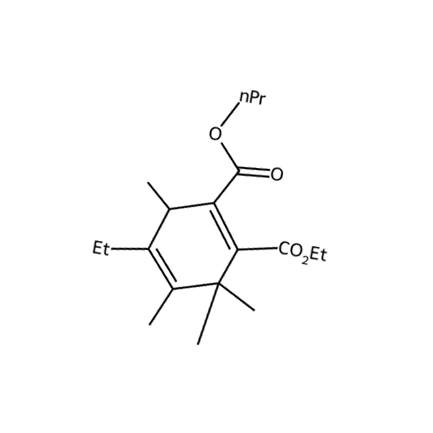 CCCOC(=O)C1=C(C(=O)OCC)C(C)(C)C(C)=C(CC)C1C